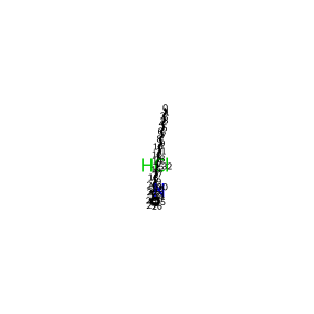 CCCCCCCCCCCCCCCCCCCCCC(Cc1ccccc1)N(C)C.Cl